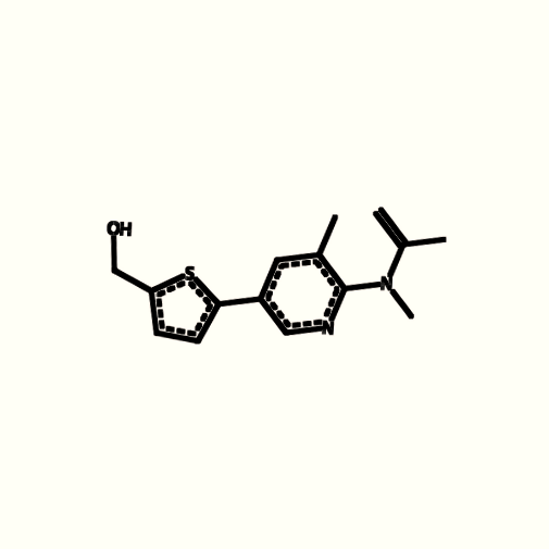 C=C(C)N(C)c1ncc(-c2ccc(CO)s2)cc1C